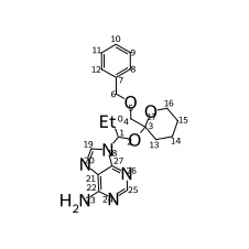 CCC(OC1(COCc2ccccc2)CCCCO1)n1cnc2c(N)ncnc21